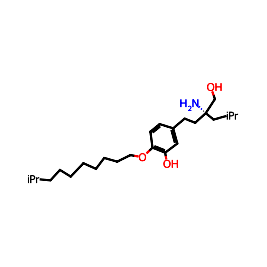 CC(C)CCCCCCCCOc1ccc(CC[C@@](N)(CO)CC(C)C)cc1O